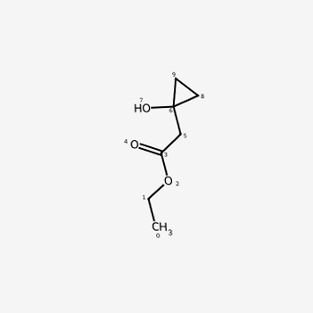 CCOC(=O)CC1(O)CC1